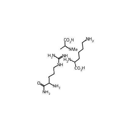 CNC(C)C(=O)O.N=C(N)NCCCC(N)C(N)=O.NCCCCC(N)C(=O)O